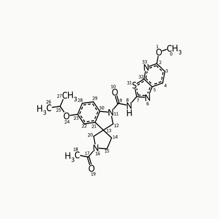 COc1ccc2nc(NC(=O)N3CC4(CCN(C(C)=O)C4)c4cc(OC(C)C)ccc43)sc2n1